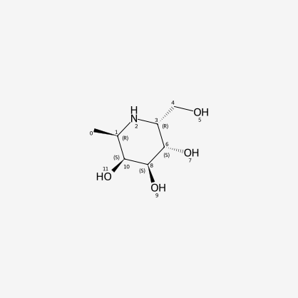 C[C@H]1N[C@H](CO)[C@H](O)[C@@H](O)[C@H]1O